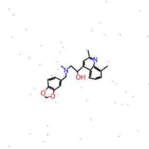 Cc1cc(C(O)CN(C)Cc2ccc3c(c2)OCO3)c2cccc(C)c2n1